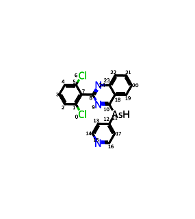 Clc1cccc(Cl)c1-c1nc([AsH]c2ccncc2)c2ccccc2n1